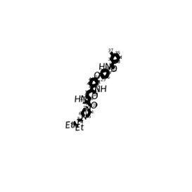 CCN(CC)CCN1CCN(C(=O)c2c[nH]c(/C=C3\C(=O)Nc4cc(Oc5cccc(NC(=O)c6cccc(C)c6)c5)ccc43)c2)CC1